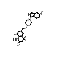 Cc1cc(CCN2CCN(c3nsc4cc(F)ccc34)CC2)cc2c1NC(=O)CC2(C)C